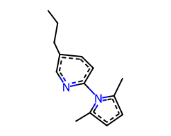 CCCc1ccc(-n2c(C)ccc2C)nc1